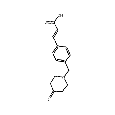 O=C(O)/C=C/c1ccc(CN2CCC(=O)CC2)cc1